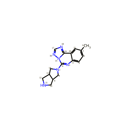 Cc1ccc2nc(N3CC4CNCC4C3)n3ncnc3c2c1